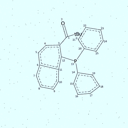 CC(C)(C)C(=O)c1ccc2ccccc2c1P(c1ccccc1)c1ccccc1